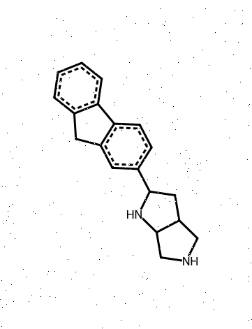 c1ccc2c(c1)Cc1cc(C3CC4CNCC4N3)ccc1-2